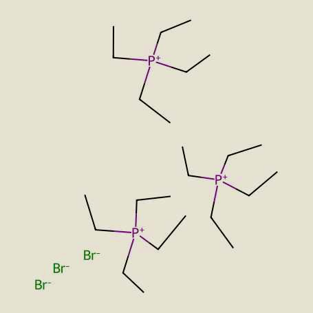 CC[P+](CC)(CC)CC.CC[P+](CC)(CC)CC.CC[P+](CC)(CC)CC.[Br-].[Br-].[Br-]